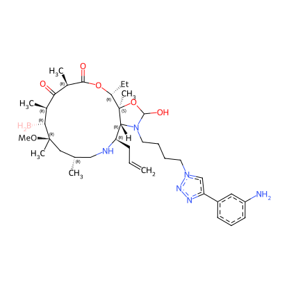 B[C@@H]1[C@@H](C)C(=O)[C@@H](C)C(=O)O[C@H](CC)[C@@]2(C)OC(O)N(CCCCn3cc(-c4cccc(N)c4)nn3)[C@@H]2[C@@H](CC=C)NC[C@H](C)C[C@@]1(C)OC